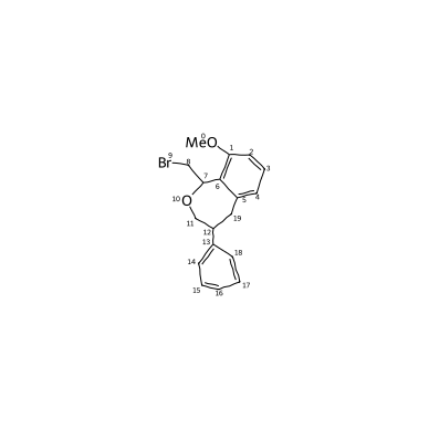 COc1cccc2c1C(CBr)OCC(c1ccccc1)C2